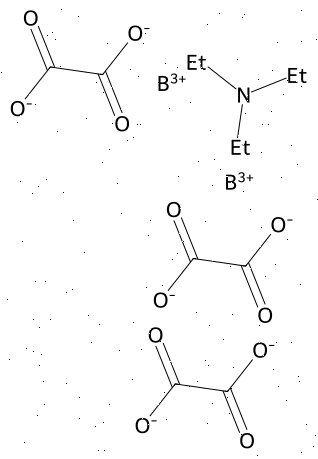 CCN(CC)CC.O=C([O-])C(=O)[O-].O=C([O-])C(=O)[O-].O=C([O-])C(=O)[O-].[B+3].[B+3]